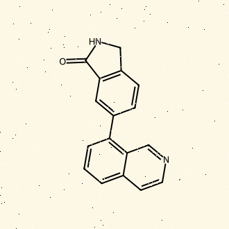 O=C1NCc2ccc(-c3cccc4ccncc34)cc21